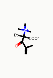 C=C(C)C(=O)C(CC)(C(=O)[O-])[N+](C)(C)C